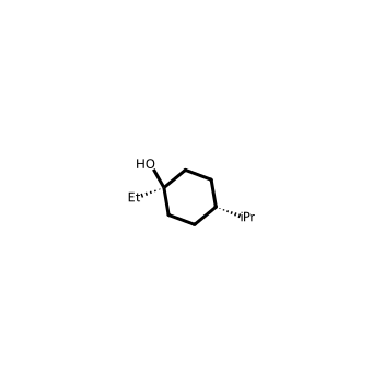 CC[C@]1(O)CC[C@H](C(C)C)CC1